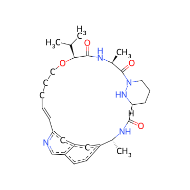 CC(C)[C@@H]1OCCC/C=C/c2cc3cc(ccc3cn2)[C@@H](C)NC(=O)[C@@H]2CCCN(N2)C(=O)[C@H](C)NC1=O